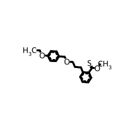 CCOc1ccc(COCCCc2ccccc2C(=S)OC)cc1